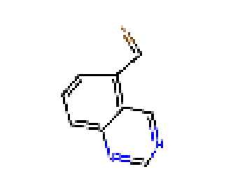 S=Cc1cccc2ncncc12